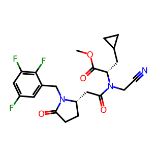 COC(=O)[C@H](CC1CC1)N(CC#N)C(=O)C[C@@H]1CCC(=O)N1Cc1cc(F)cc(F)c1F